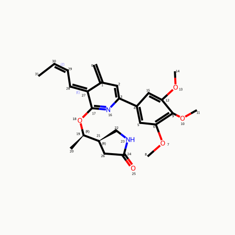 C=c1cc(-c2cc(OC)c(OC)c(OC)c2)nc(O[C@H](C)[C@H]2CNC(=O)C2)/c1=C/C=C\C